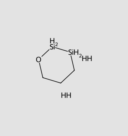 C1CO[SiH2][SiH2]C1.[HH].[HH]